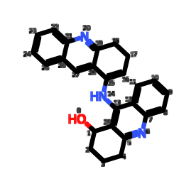 OC1CCCc2nc3ccccc3c(NC3=CCCc4nc5ccccc5cc43)c21